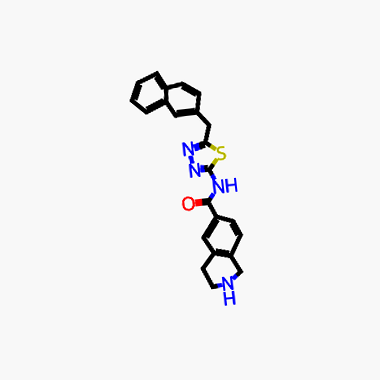 O=C(Nc1nnc(Cc2ccc3ccccc3c2)s1)c1ccc2c(c1)CCNC2